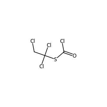 O=C(Cl)SC(Cl)(Cl)CCl